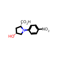 O=C(O)[C@H]1C[C@@H](O)CN1c1ccc([N+](=O)[O-])cc1